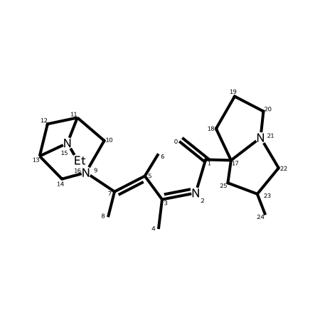 C=C(/N=C(C)\C(C)=C(/C)N1CC2CC(C1)N2CC)C12CCCN1CC(C)C2